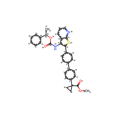 COC(=O)C1(c2ccc(-c3ccc(-c4sc5ncccc5c4NC(=O)O[C@H](C)c4ccccc4)cc3)cc2)CC1